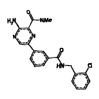 CNC(=O)c1nc(-c2cccc(C(=O)NCc3ccccc3Cl)c2)cnc1N